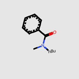 CCCCN(C)C(=O)c1[c]cccc1